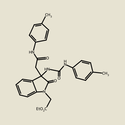 CCOC(=O)CN1C(=O)C(CC(=O)Nc2ccc(C)cc2)(NC(=O)Nc2ccc(C)cc2)c2ccccc21